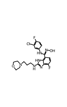 O/N=C(/Nc1ccc(F)c(Cl)c1)c1ccc(F)c2nc(NCCCN3CCOCC3)[nH]c12